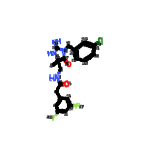 CC1(CNC(=O)Cc2cc(F)cc(F)c2)NC(=N)N(Cc2cccc(Cl)c2)C1=O